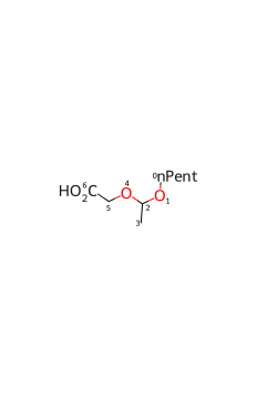 CCCCCOC(C)OCC(=O)O